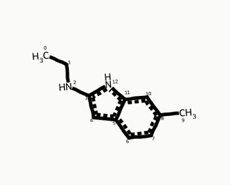 CCNc1cc2ccc(C)cc2[nH]1